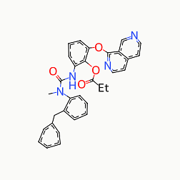 CCC(=O)Oc1c(NC(=O)N(C)c2ccccc2Cc2ccccc2)cccc1Oc1nccc2ccncc12